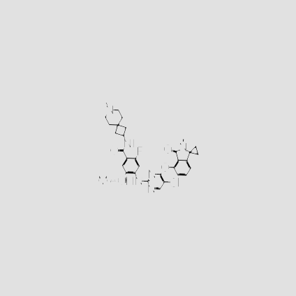 COc1cc(C(=O)NC2CC3(CCN(C)CC3)C2)c(F)cc1Nc1ncc(Cl)c(Oc2cccc3c2C(=O)N(C)C32CC2)n1